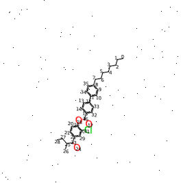 CCCCCCCCc1ccc(-c2ccc(C(=O)Oc3ccc(C(=O)C(C)CC)cc3Cl)cc2)cc1